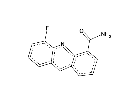 NC(=O)c1cccc2cc3cccc(F)c3nc12